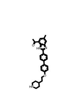 CC(=O)c1cc(C)cc2nc(-c3ccc(-c4ccc(OCCC5CCNCC5)cc4)cc3)[nH]c12